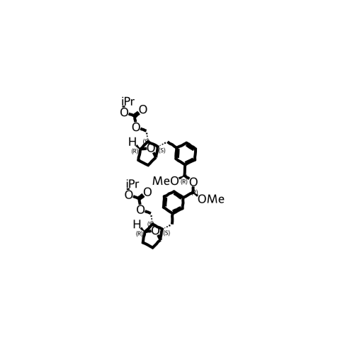 CO[C@H](O[C@@H](OC)c1cccc(C[C@@H]2C3CC[C@@H](O3)[C@@H]2COC(=O)OC(C)C)c1)c1cccc(C[C@@H]2C3CC[C@@H](O3)[C@@H]2COC(=O)OC(C)C)c1